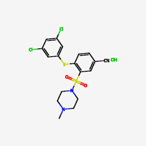 CN1CCN(S(=O)(=O)c2cc(C#N)ccc2Sc2cc(Cl)cc(Cl)c2)CC1.Cl